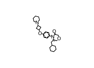 O=C1COC[C@@H](CC2CCCCC2)N1c1ccc(OC2CC(N3CCCCC3)C2)cc1